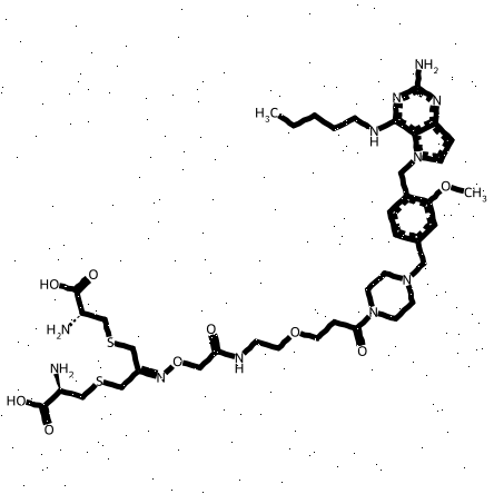 CCCCCNc1nc(N)nc2ccn(Cc3ccc(CN4CCN(C(=O)CCOCCNC(=O)CON=C(CSC[C@H](N)C(=O)O)CSC[C@H](N)C(=O)O)CC4)cc3OC)c12